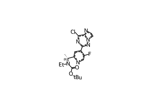 CCN(C(=O)OC(C)(C)C)[C@H](C)c1cc(-c2nc(Cl)c3nccn3n2)c(F)cn1